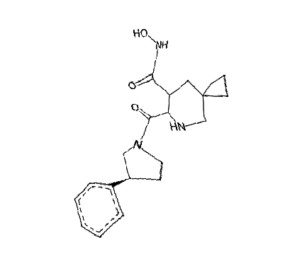 O=C(NO)C1CC2(CC2)CNC1C(=O)N1CC[C@@H](c2ccccc2)C1